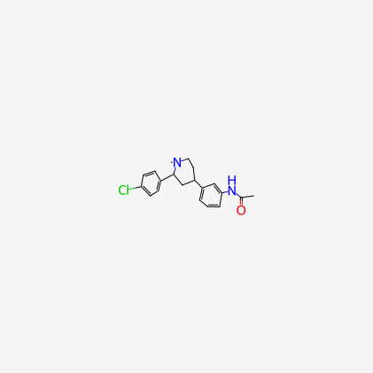 CC(=O)Nc1cccc(C2CC[N]C(c3ccc(Cl)cc3)C2)c1